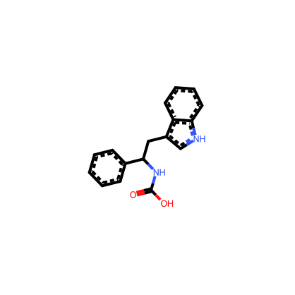 O=C(O)NC(Cc1c[nH]c2ccccc12)c1ccccc1